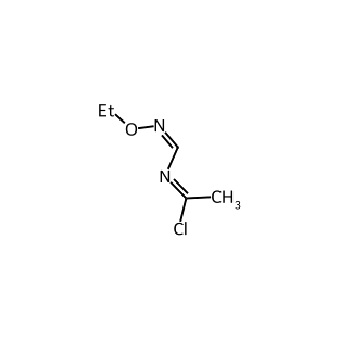 CCO/N=C\N=C(/C)Cl